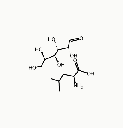 CC(C)C[C@H](N)C(=O)O.O=C[C@H](O)[C@@H](O)[C@@H](O)[C@H](O)CO